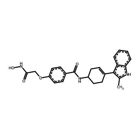 Cc1[nH]c2ccccc2c1C1=CCC(NC(=O)c2ccc(OCC(=O)NO)cc2)CC1